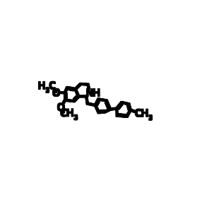 COc1cc2c(cc1OC)C(Cc1ccc(-c3ccc(C)cc3)cc1)NCC2